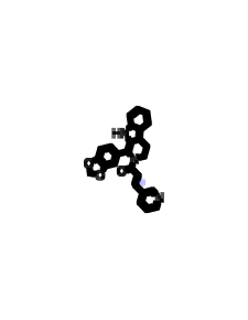 O=C(/C=C/c1cccnc1)N1CCC2=C3C=CC=CC3NC2=C1c1ccc2c(c1)OCO2